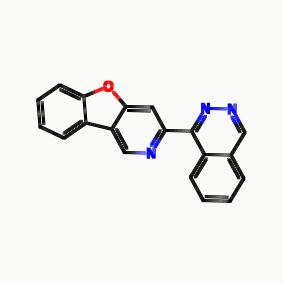 c1ccc2c(-c3cc4oc5ccccc5c4cn3)nncc2c1